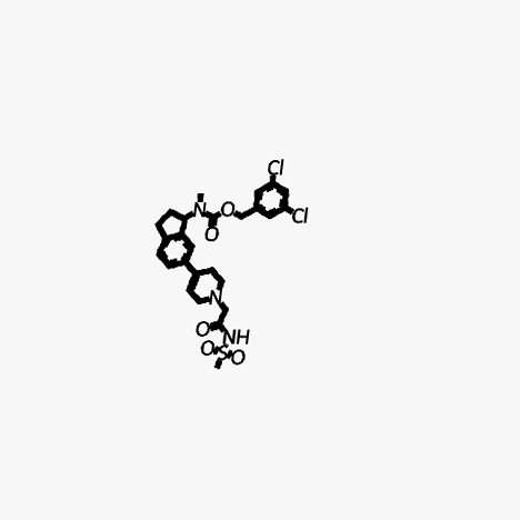 CN(C(=O)OCc1cc(Cl)cc(Cl)c1)C1CCc2ccc(C3=CCN(CC(=O)NS(C)(=O)=O)CC3)cc21